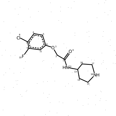 O=C(COc1ccc(Cl)c(F)c1)NC1CCNCC1